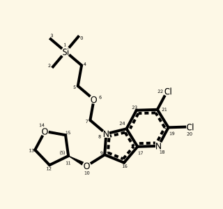 C[Si](C)(C)CCOCn1c(O[C@H]2CCOC2)cc2nc(Cl)c(Cl)cc21